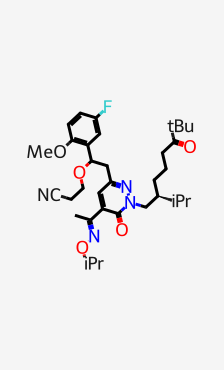 COc1ccc(F)cc1C(Cc1cc(/C(C)=N/OC(C)C)c(=O)n(C[C@@H](CCCC(=O)C(C)(C)C)C(C)C)n1)OCCC#N